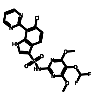 COc1nc(NS(=O)(=O)c2c[nH]c3c(-c4ncccn4)c(Cl)ccc23)nc(OC)c1OC(F)F